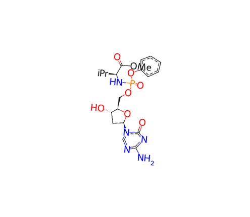 COC(=O)[C@@H](NP(=O)(OC[C@H]1O[C@@H](n2cnc(N)nc2=O)C[C@@H]1O)Oc1ccccc1)C(C)C